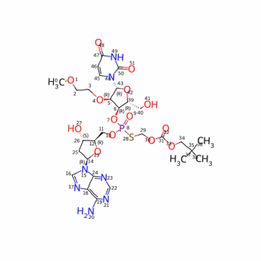 COCCO[C@@H]1[C@H](OP(=O)(OC[C@H]2O[C@@H](n3cnc4c(N)ncnc43)C[C@@H]2O)SCOC(=O)OCC(C)(C)C)[C@@H](CO)O[C@H]1n1ccc(=O)[nH]c1=O